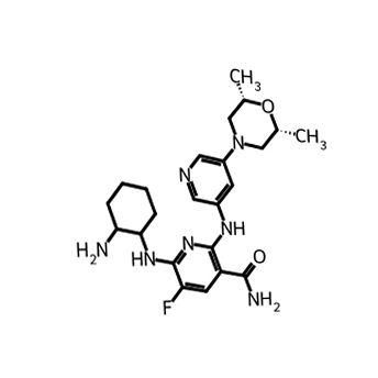 C[C@@H]1CN(c2cncc(Nc3nc(NC4CCCCC4N)c(F)cc3C(N)=O)c2)C[C@H](C)O1